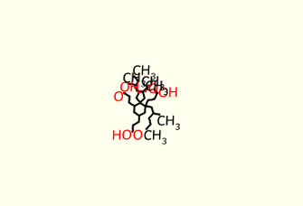 CCCCC(CC)CC1(CCC(=O)O)CC(CCC(=O)O)CC(CCC(=O)O)C1(CC(CC)CCCC)CC(CC)CCCC